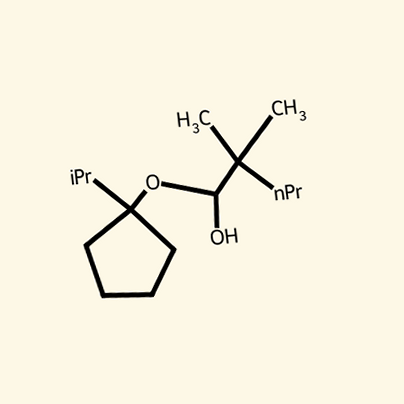 CCCC(C)(C)C(O)OC1(C(C)C)CCCC1